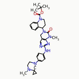 CN1C(=O)N(C2CCN(C(=O)OC(C)(C)C)c3ccccc32)Cc2cnc(Nc3ccc(N4CCN(C)C5(CC5)C4)cc3)nc21